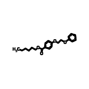 CCCCCCOC(=O)c1ccc(OCCOc2ccccc2)cc1